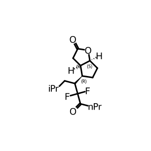 CCCC(=O)C(F)(F)C(CC(C)C)[C@@H]1CC[C@@H]2OC(=O)C[C@@H]21